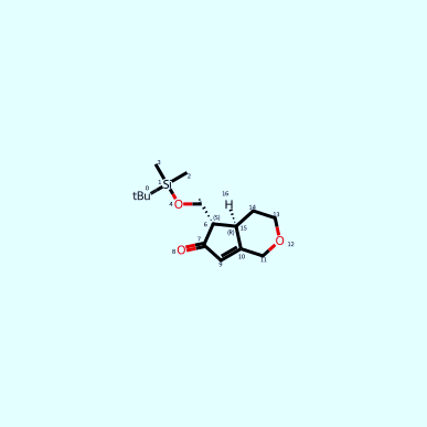 CC(C)(C)[Si](C)(C)OC[C@H]1C(=O)C=C2COCC[C@@H]21